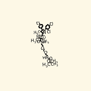 CCC(CC)(NC(=O)c1nn(-c2ccc(Cl)cc2Cl)c(-c2ccc(Cl)cc2)c1C)C(=O)NCCOCCOCCNC(=O)OC(C)(C)C